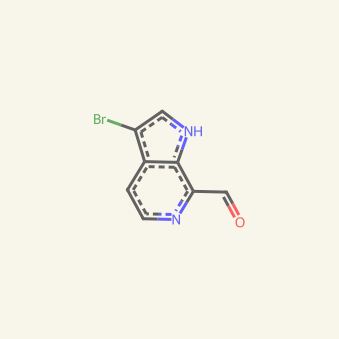 O=Cc1nccc2c(Br)c[nH]c12